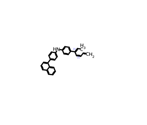 C=C/C=C\C(=C/C)c1ccc(Nc2ccc(-c3cccc4ccccc34)cc2)cc1